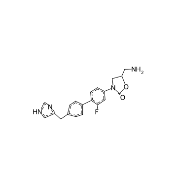 NCC1CN(c2ccc(-c3ccc(Cc4c[nH]cn4)cc3)c(F)c2)C(=O)O1